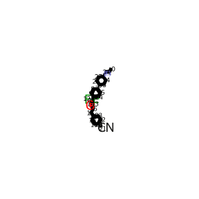 C/C=C/[C@H]1CC[C@H](c2ccc(C(F)(F)OCCc3ccc(C#N)cc3)cc2)CC1